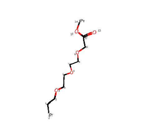 CC(C)CCOCCOCCOCC(=O)OC(C)C